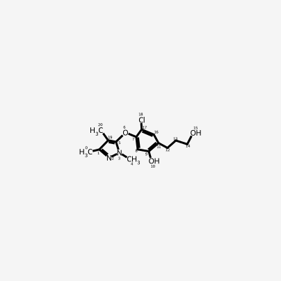 Cc1nn(C)c(Oc2cc(O)c(CCCO)cc2Cl)c1C